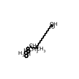 CC(=CCCCCCCCCCCCCCCCCC(=O)O)CCCC(C)[C@H]1CC[C@H]2[C@@H]3CCC4CCCC[C@]4(C)[C@H]3CC[C@]12C